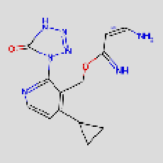 N=C(/C=C\N)OCc1c(C2CC2)ccnc1-n1nn[nH]c1=O